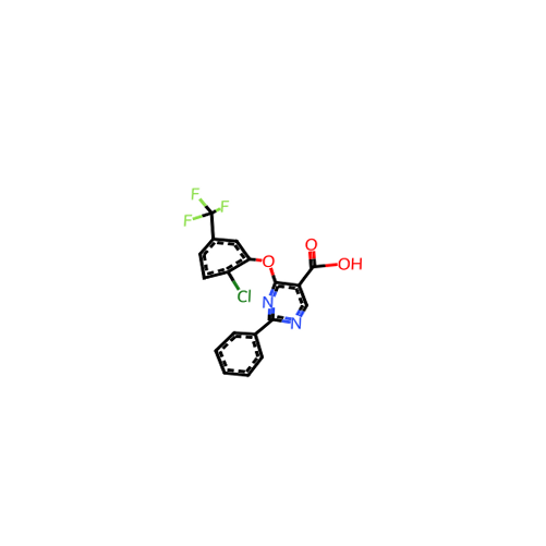 O=C(O)c1cnc(-c2ccccc2)nc1Oc1cc(C(F)(F)F)ccc1Cl